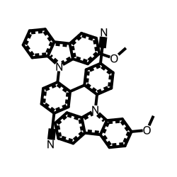 COc1ccc2c3ccccc3n(-c3ccc(C#N)cc3-c3cc(C#N)ccc3-n3c4ccccc4c4ccc(OC)cc43)c2c1